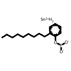 CCCCCCCCCc1ccccc1OP([O-])[O-].[SnH2+2]